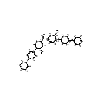 O=C(c1ccc(-c2ccc(-c3ccccc3)cc2)c(Cl)c1)c1ccc(-c2ccc(-c3ccccc3)cc2)c(Cl)c1